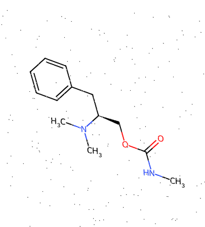 CNC(=O)OC[C@H](Cc1ccccc1)N(C)C